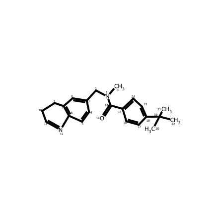 CN(Cc1ccc2c(c1)CCC=N2)C(=O)c1ccc(C(C)(C)C)cc1